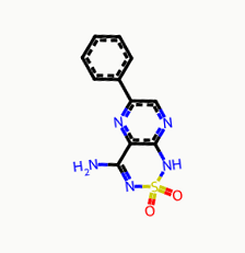 NC1=NS(=O)(=O)Nc2ncc(-c3ccccc3)nc21